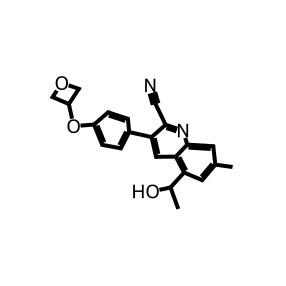 Cc1cc(C(C)O)c2cc(-c3ccc(OC4COC4)cc3)c(C#N)nc2c1